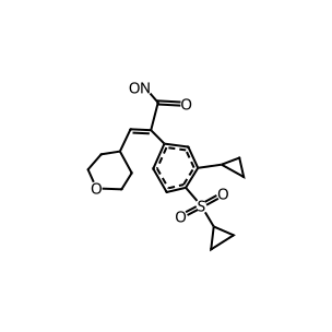 O=NC(=O)/C(=C/C1CCOCC1)c1ccc(S(=O)(=O)C2CC2)c(C2CC2)c1